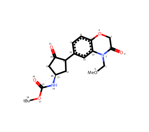 COCN1C(=O)COc2ccc(C3C[C@@H](NC(=O)OC(C)(C)C)CC3=O)cc21